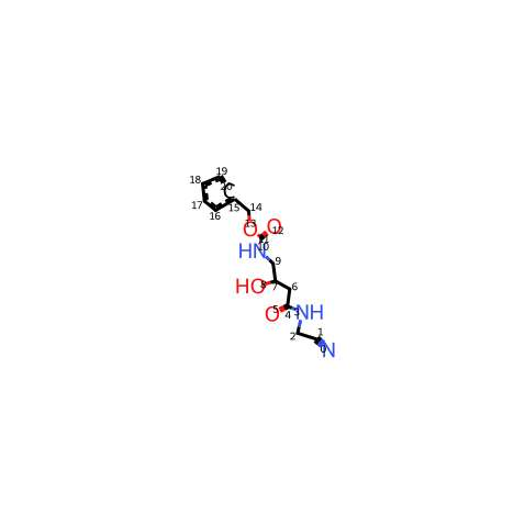 N#CCNC(=O)CC(O)CNC(=O)OCc1ccccc1